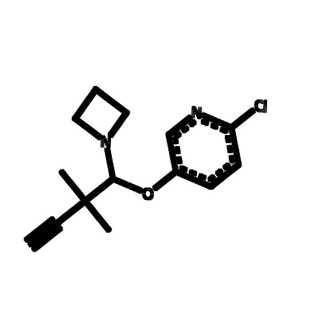 C#CC(C)(C)C(Oc1ccc(Cl)nc1)N1CCC1